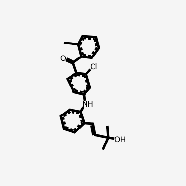 Cc1ccccc1C(=O)c1ccc(Nc2ccccc2C=CC(C)(C)O)cc1Cl